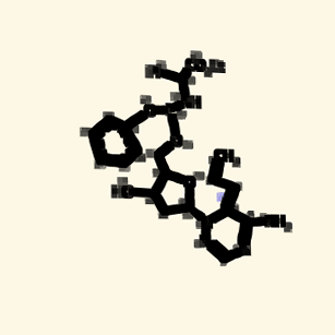 C=C/C=C1/C(N)=NC=NN1[C@H]1CC(O)C(COP(NC(C(=O)OCC)C(C)C)Oc2ccccc2)O1